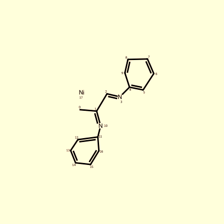 CC(C=Nc1ccccc1)=Nc1ccccc1.[Ni]